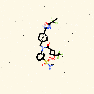 CNS(=O)(=O)c1cccc(N(CC23CCC(c4noc(C(C)(F)F)n4)(CC2)CC3)C(=O)C2CC(O)(C(F)(F)F)C2)c1